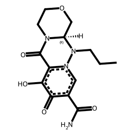 CCCN1[C@@H]2COCCN2C(=O)c2c(O)c(=O)c(C(N)=O)cn21